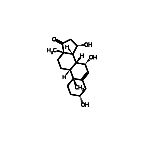 C[C@]12CC[C@@H](O)CC1=C[C@@H](O)[C@H]1[C@@H]3[C@@H](O)CC(=O)[C@@]3(C)CC[C@@H]12